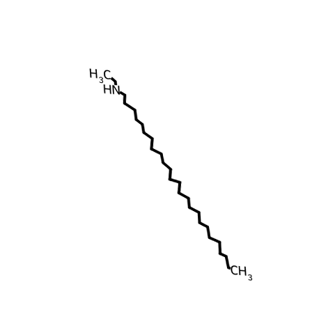 CCCCCCCCCCCCCCCCCCCCCCCCCNCC